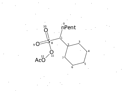 CCCCCC(C1CCCCC1)S(=O)(=O)OOC(C)=O